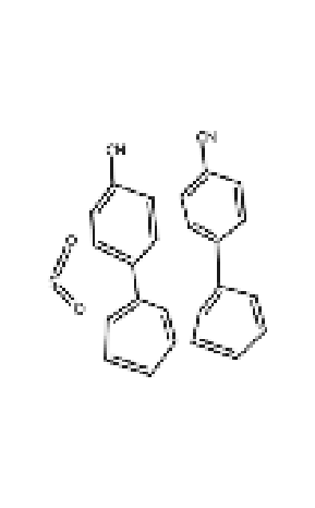 N#Cc1ccc(-c2ccccc2)cc1.N#Cc1ccc(-c2ccccc2)cc1.O=S=O